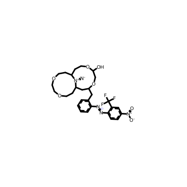 [N-]=[N+]1C2CCOCCOCCC1CC(Cc1ccccc1/N=N/c1ccc([N+](=O)[O-])cc1C(F)(F)F)OCC(O)OCC2